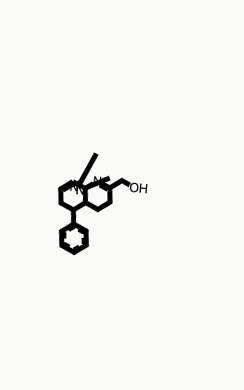 CC1=NC2=CCC(c3ccccc3)C3CCC(CO)=NC23N1C